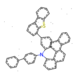 c1ccc(-c2ccc(N(c3cccc(-c4cccc5c4sc4ccccc45)c3)c3cccc4ccc5c6ccccc6ccc5c34)cc2)cc1